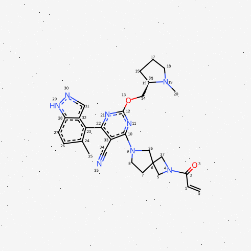 C=CC(=O)N1CC2(CCN(c3nc(OC[C@H]4CCCN4C)nc(-c4c(C)ccc5[nH]ncc45)c3C#N)C2)C1